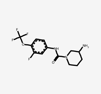 NC1CCCN(C(=O)Nc2ccc(OC(F)(F)F)c(F)c2)C1